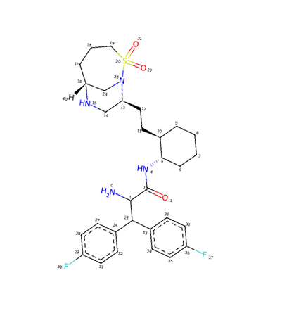 NC(C(=O)N[C@H]1CCCC[C@@H]1CC[C@H]1CN[C@@H]2CCCS(=O)(=O)N1C2)C(c1ccc(F)cc1)c1ccc(F)cc1